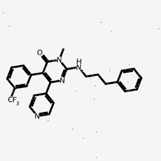 Cn1c(NCCCc2ccccc2)nc(-c2ccncc2)c(-c2cccc(C(F)(F)F)c2)c1=O